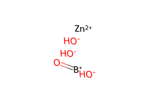 [B+]=O.[OH-].[OH-].[OH-].[Zn+2]